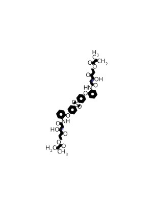 C=C(C)C(=O)OCCC(=O)/C(O)=C/C(=O)Nc1ccccc1Oc1ccc(S(=O)(=O)c2ccc(Oc3ccccc3NC(=O)/C=C(\O)C(=O)CCOC(=O)C(=C)C)cc2)cc1